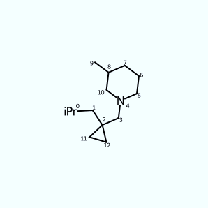 CC(C)CC1(CN2CCCC(C)C2)CC1